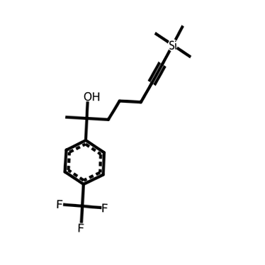 CC(O)(CCCC#C[Si](C)(C)C)c1ccc(C(F)(F)F)cc1